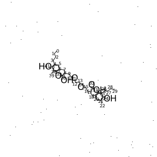 CCCCc1cc(CC(CCOCCOCCC(Cc2cc(C)c(O)c(CCCC)c2)C(=O)O)C(=O)O)cc(C)c1O